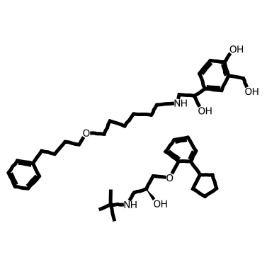 CC(C)(C)NC[C@H](O)COc1ccccc1C1CCCC1.OCc1cc(C(O)CNCCCCCCOCCCCc2ccccc2)ccc1O